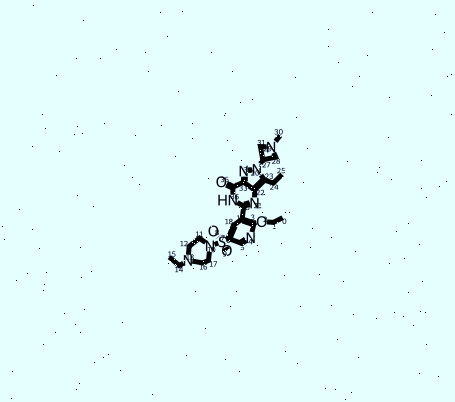 CCOc1ncc(S(=O)(=O)N2CCN(CC)CC2)cc1-c1nc2c(CC)n(C3CN(C)C3)nc2c(=O)[nH]1